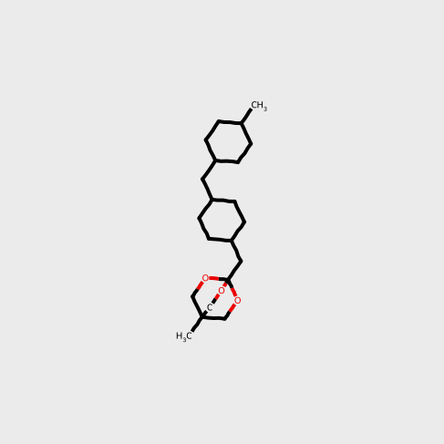 CC1CCC(CC2CCC(CC34OCC(C)(CO3)CO4)CC2)CC1